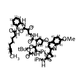 CC#CCCCCC(=O)Nc1ccccc1NC(=O)C(=O)CNC(=O)[C@@H]1C[C@H](Oc2cc(-c3csc(NC(C)C)n3)nc3cc(OC)ccc23)CN1C(=O)[C@H](NC(=O)OC(C)(C)C)C(C)C